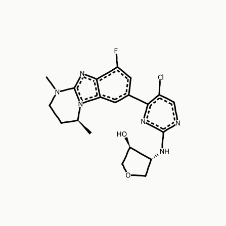 C[C@H]1CCN(C)c2nc3c(F)cc(-c4nc(N[C@@H]5COC[C@H]5O)ncc4Cl)cc3n21